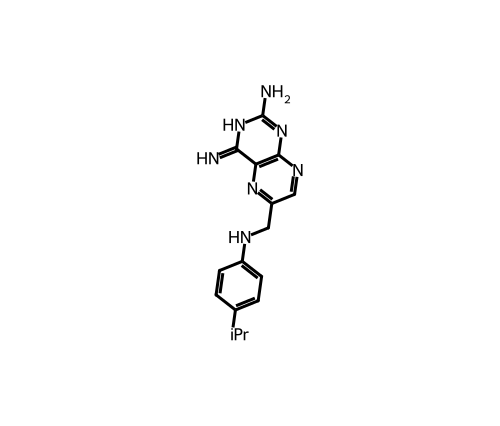 CC(C)c1ccc(NCc2cnc3nc(N)[nH]c(=N)c3n2)cc1